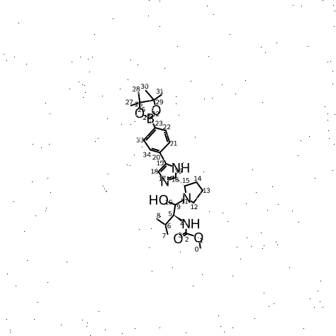 COC(=O)N[C@@H](C(C)C)C(O)N1CCC[C@H]1c1ncc(-c2ccc(B3OC(C)(C)C(C)(C)O3)cc2)[nH]1